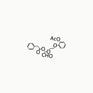 CC(=O)Oc1ccccc1OCCOC(C=O)OC(=O)Cc1ccccc1